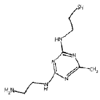 Cc1nc(NCCN)nc(NCCS)n1